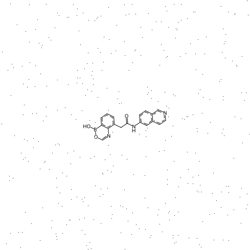 O=C(Cc1cccc2c1N=COB2O)Nc1ccc2cnccc2c1